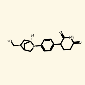 O=C1CCC(c2ccc(N3CC4C[C@H]3C[C@@H]4CO)cc2)C(=O)N1